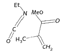 C=C(C)C(=O)OC.CCN=C=O